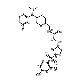 CN(C)C(c1cccc(F)c1)C1CCC(CNC(=O)COC2CCN(S(=O)(=O)c3ccc(Cl)cc3Cl)C2)CC1